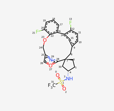 O=S(=O)(N[C@H]1CC[C@@]2(Cc3ccc(F)c(c3)-c3cccc(F)c3OCc3coc2n3)C1)C(F)(F)F